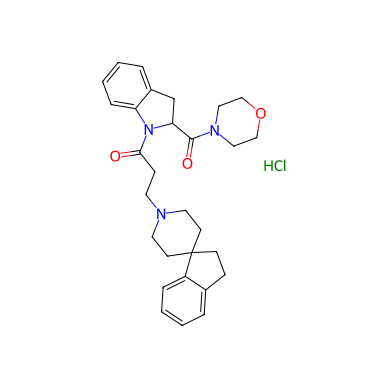 Cl.O=C(C1Cc2ccccc2N1C(=O)CCN1CCC2(CCc3ccccc32)CC1)N1CCOCC1